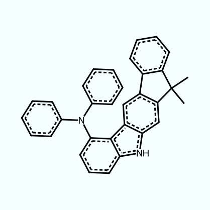 CC1(C)c2ccccc2-c2cc3c(cc21)[nH]c1cccc(N(c2ccccc2)c2ccccc2)c13